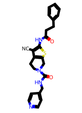 N#Cc1c(NC(=O)CCc2ccccc2)sc2c1CCN(C(=O)NCc1ccncc1)C2